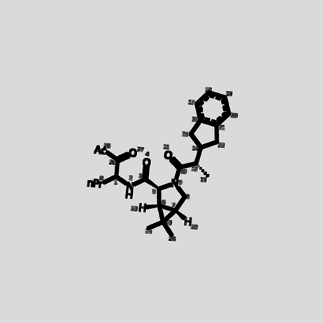 CCCC(NC(=O)[C@@H]1[C@@H]2[C@H](CN1C(=O)[C@@H](C)C1Cc3ccccc3C1)C2(C)C)C(=O)C(C)=O